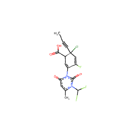 CC#CC1(Cl)C=C(F)C(n2c(=O)cc(C)n(C(F)F)c2=O)=CC1C(=O)O